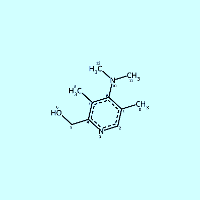 Cc1cnc(CO)c(C)c1N(C)C